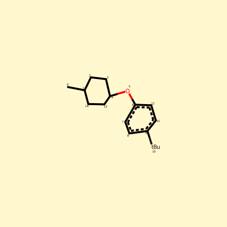 CC1CCC(Oc2ccc(C(C)(C)C)cc2)CC1